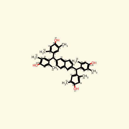 Cc1cc(C(c2ccc3cc(C(c4cc(C)c(O)cc4C)c4cc(C)c(O)cc4C)ccc3c2)c2cc(C)c(O)cc2C)c(C)cc1O